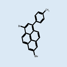 Cc1ccc(-c2cc(Br)c3ccc4cc(C(C)(C)C)cc5ccc2c3c45)cc1